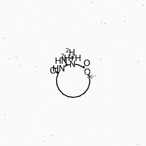 [2H]C([2H])([2H])N1CC(=O)O[C@H](C)CCCCCCCCCCC(=O)NC1=N